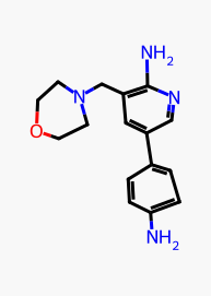 Nc1ccc(-c2cnc(N)c(CN3CCOCC3)c2)cc1